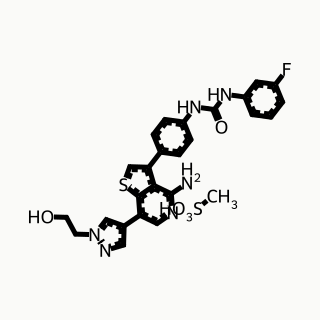 CS(=O)(=O)O.Nc1ncc(-c2cnn(CCO)c2)c2scc(-c3ccc(NC(=O)Nc4cccc(F)c4)cc3)c12